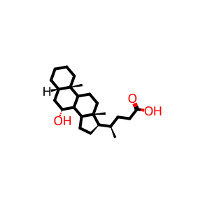 C[C@H](CCC(=O)O)[C@H]1CCC2C3C(CC[C@@]21C)[C@@]1(C)CCCC[C@H]1C[C@H]3O